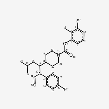 Cc1c(F)cccc1OC(=O)N1CCC(C(CC(C)C)N(C=O)c2ccc(F)cc2)CC1